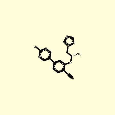 C[C@@H](Cn1cncn1)Oc1cc(-c2cnc(Cl)nc2)ccc1C#N